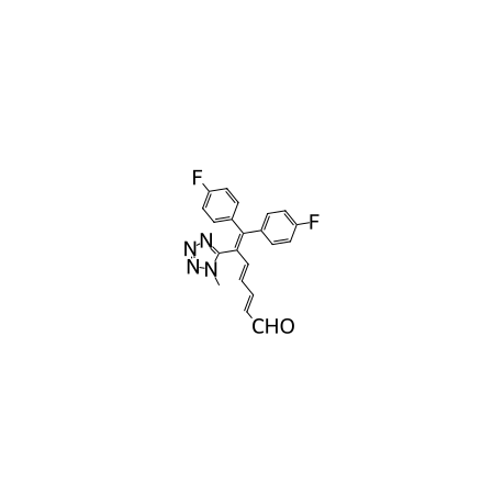 Cn1nnnc1C(C=CC=CC=O)=C(c1ccc(F)cc1)c1ccc(F)cc1